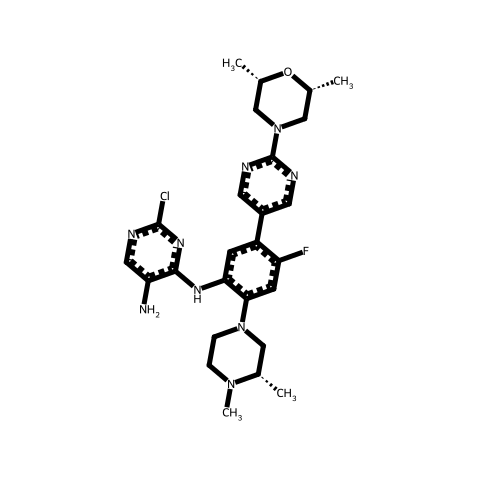 C[C@@H]1CN(c2ncc(-c3cc(Nc4nc(Cl)ncc4N)c(N4CCN(C)[C@@H](C)C4)cc3F)cn2)C[C@H](C)O1